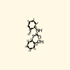 O=C(Nc1ccccc1F)Sc1ccccc1O